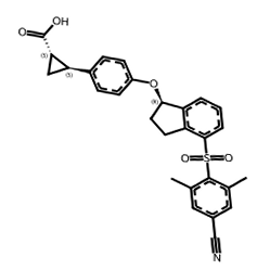 Cc1cc(C#N)cc(C)c1S(=O)(=O)c1cccc2c1CC[C@H]2Oc1ccc([C@H]2C[C@@H]2C(=O)O)cc1